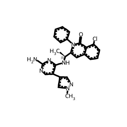 C[C@H](Nc1nc(N)ncc1-c1cnn(C)c1)c1cc2cccc(Cl)c2c(=O)n1-c1ccccc1